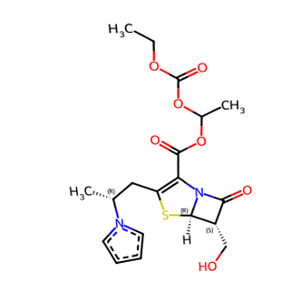 CCOC(=O)OC(C)OC(=O)C1=C(C[C@@H](C)n2cccc2)S[C@@H]2[C@@H](CO)C(=O)N12